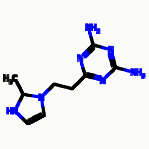 CC1NC=CN1CCc1nc(N)nc(N)n1